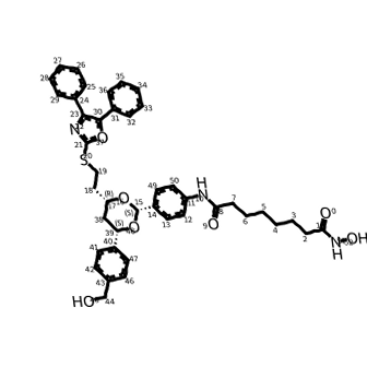 O=C(CCCCCCC(=O)Nc1ccc([C@H]2O[C@@H](CCSc3nc(-c4ccccc4)c(-c4ccccc4)o3)C[C@@H](c3ccc(CO)cc3)O2)cc1)NO